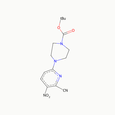 CC(C)(C)OC(=O)N1CCN(c2ccc([N+](=O)[O-])c(C#N)n2)CC1